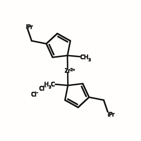 CC(C)CC1=C[C](C)([Zr+2][C]2(C)C=CC(CC(C)C)=C2)C=C1.[Cl-].[Cl-]